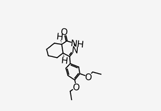 CCOc1ccc(C2=NNC(=O)[C@@H]3CCCC[C@H]23)cc1OCC